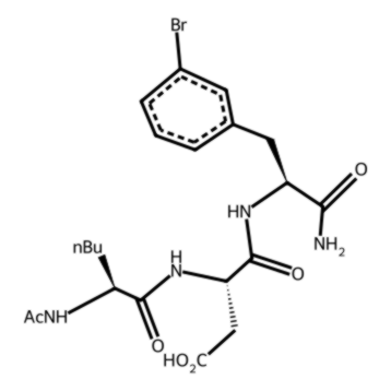 CCCC[C@H](NC(C)=O)C(=O)N[C@@H](CC(=O)O)C(=O)N[C@@H](Cc1cccc(Br)c1)C(N)=O